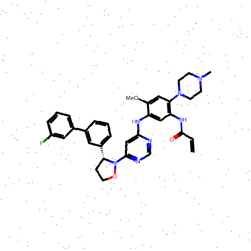 C=CC(=O)Nc1cc(Nc2cc(N3OCC[C@@H]3c3cccc(-c4cccc(F)c4)c3)ncn2)c(OC)cc1N1CCN(C)CC1